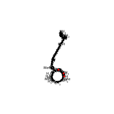 CO[C@H]1C[C@]2(O)CC[C@@H](C)[C@@](O)(O2)C(=O)C(=O)N2CCCC[C@H]2C(=O)O[C@H]([C@H](C)C[C@@H]2CC[C@@H](OCCOCc3cn(CCOCCOCCOCCOCCC(=O)NCCCCC4N=C(c5ccc6oc(N)nc6c5)c5c(N)ncnc54)nn3)[C@H](OC)C2)CC(=O)[C@H](C)/C=C(\C)[C@@H](O)[C@@H](OC)C(=O)[C@H](C)C[C@H](C)/C=C/C=C/C=C/1C